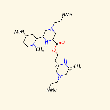 CNCCN1CC(C(=O)OCC[C@H]2CN(CCNC)C[C@@H](C)N2)NC(C2CC(NC)CCN2C)C1